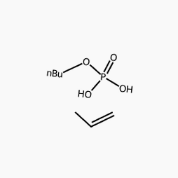 C=CC.CCCCOP(=O)(O)O